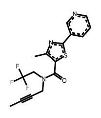 CC#CCN(CC(F)(F)F)C(=O)c1sc(-c2cccnc2)nc1C